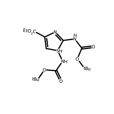 CCOC(=O)C1=C[SH](NC(=O)OC(C)(C)C)C(NC(=O)OC(C)(C)C)=N1